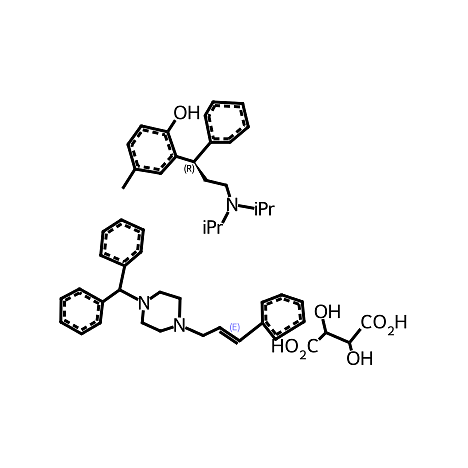 C(=C\c1ccccc1)/CN1CCN(C(c2ccccc2)c2ccccc2)CC1.Cc1ccc(O)c([C@H](CCN(C(C)C)C(C)C)c2ccccc2)c1.O=C(O)C(O)C(O)C(=O)O